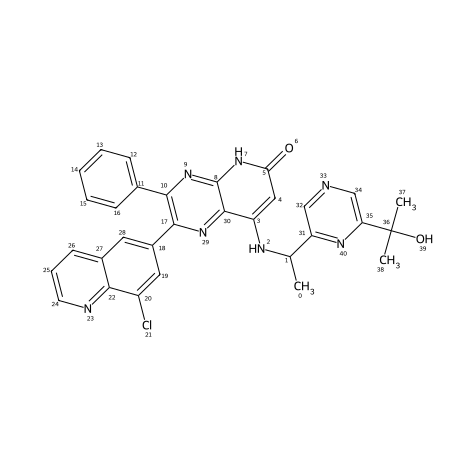 CC(Nc1cc(=O)[nH]c2nc(-c3ccccc3)c(-c3cc(Cl)c4ncccc4c3)nc12)c1cncc(C(C)(C)O)n1